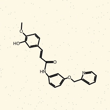 COc1ccc(C=CC(=O)Nc2cccc(OCc3ccccn3)c2)cc1O